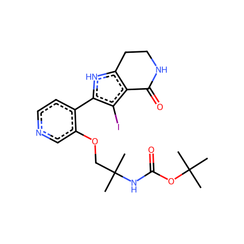 CC(C)(COc1cnccc1-c1[nH]c2c(c1I)C(=O)NCC2)NC(=O)OC(C)(C)C